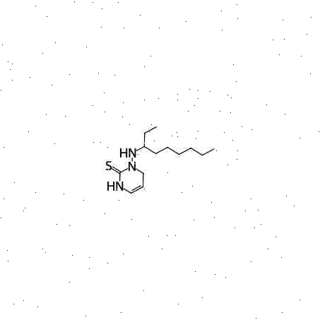 CCCCCCC(CC)NN1CC=CNC1=S